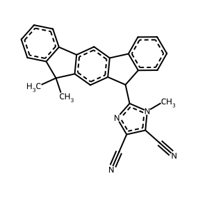 Cn1c(C2c3ccccc3-c3cc4c(cc32)C(C)(C)c2ccccc2-4)nc(C#N)c1C#N